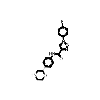 O=C(Nc1ccc([C@H]2CNCCO2)cc1)c1cn(-c2ccc(F)cc2)nn1